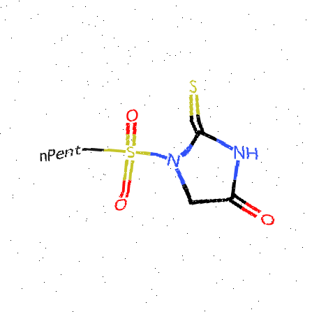 CCCCCS(=O)(=O)N1CC(=O)NC1=S